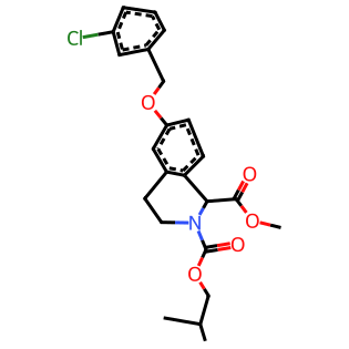 COC(=O)C1c2ccc(OCc3cccc(Cl)c3)cc2CCN1C(=O)OCC(C)C